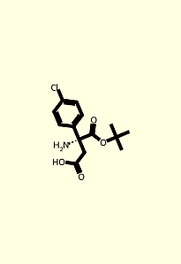 CC(C)(C)OC(=O)[C@@](N)(CC(=O)O)c1ccc(Cl)cc1